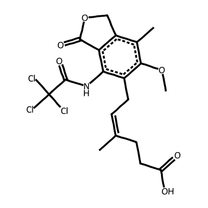 COc1c(C)c2c(c(NC(=O)C(Cl)(Cl)Cl)c1CC=C(C)CCC(=O)O)C(=O)OC2